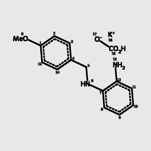 COc1ccc(CNc2ccccc2N)cc1.O=C([O-])O.[K+]